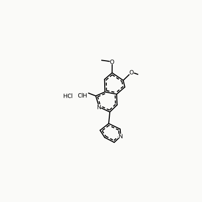 COc1cc2cc(-c3cccnc3)nc(C)c2cc1OC.Cl.Cl